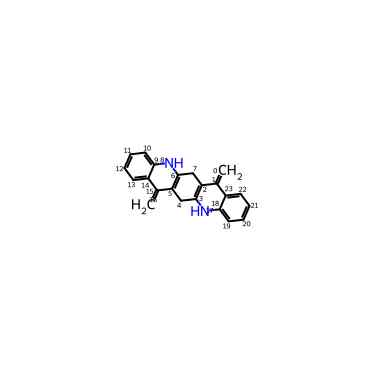 C=C1C2=C(CC3=C(C2)Nc2ccccc2C3=C)Nc2ccccc21